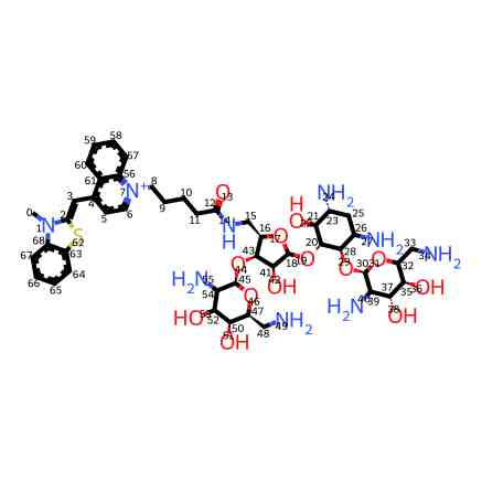 CN1/C(=C/c2cc[n+](CCCCC(=O)NC[C@H]3OC(O[C@@H]4C(O)[C@H](N)CC(N)[C@H]4O[C@H]4OC(CN)[C@@H](O)[C@H](O)C4N)[C@@H](O)[C@H]3O[C@H]3O[C@@H](CN)[C@@H](O)C(O)C3N)c3ccccc23)Sc2ccccc21